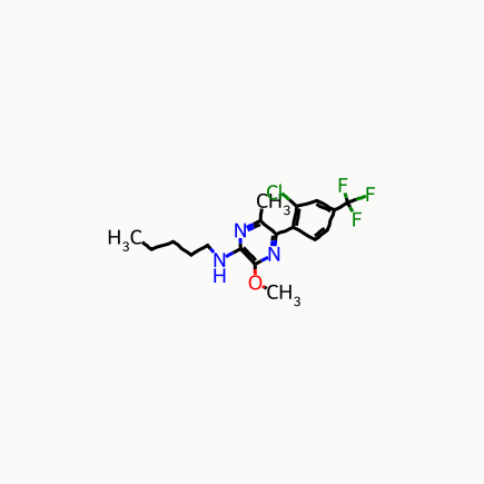 CCCCCNc1nc(C)c(-c2ccc(C(F)(F)F)cc2Cl)nc1OC